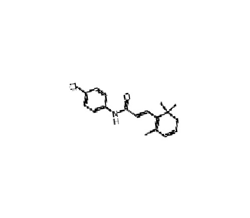 CC1=C(/C=C/C(=O)Nc2ccc(Cl)cc2)C(C)(C)CC=C1